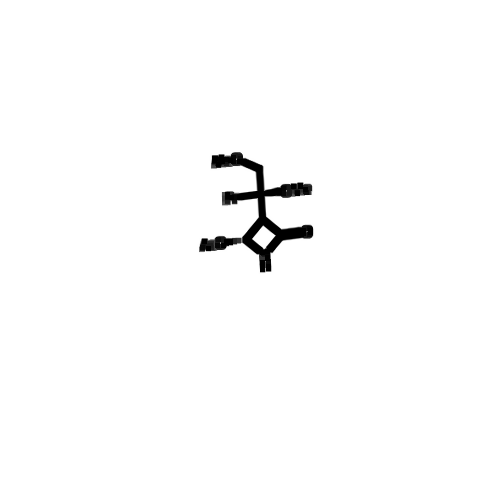 COC[C@@](OC)(C(C)C)C1C(=O)N[C@@H]1OC(C)=O